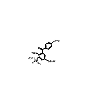 CCCCc1c(C(=O)c2ccc(OC)cc2)cc(NC(C)=O)cc1[As](=O)(O)OO